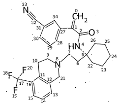 C=C(C(=O)NC1(CCN2CCc3c(cccc3C(F)(F)F)C2)CCCCC1)c1cccc(C#N)c1